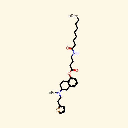 CCCCCCCCCCCCCCCCCC(=O)NCCCC(=O)Oc1cccc2c1CCC(N(CCC)CCc1cccs1)C2